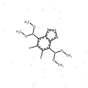 COB(OC)c1c(F)c(F)c(B(OC)OC)c2nsnc12